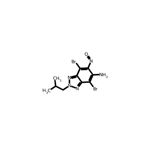 CC(C)Cn1nc2c(Br)c(N)c(N=O)c(Br)c2n1